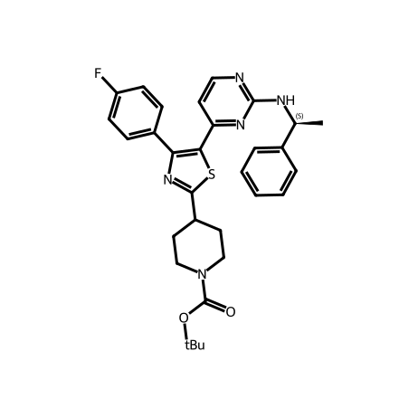 C[C@H](Nc1nccc(-c2sc(C3CCN(C(=O)OC(C)(C)C)CC3)nc2-c2ccc(F)cc2)n1)c1ccccc1